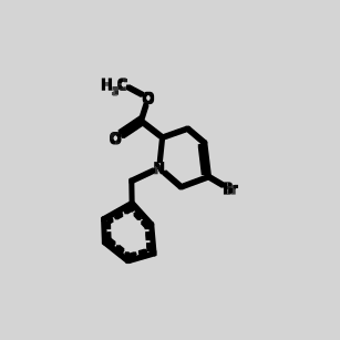 COC(=O)C1CC=C(Br)CN1Cc1ccccc1